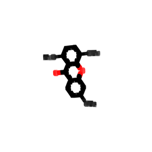 COc1ccc2c(=O)c3c(OC)ccc(OC)c3oc2c1